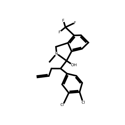 C=CCC(c1ccc(Cl)c(Cl)c1)C1(O)c2cccc(C(F)(F)F)c2CN1C